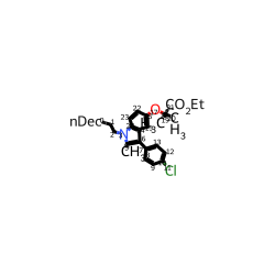 CCCCCCCCCCCCn1c(C)c(-c2ccc(Cl)cc2)c2cc(OC(C)(C)C(=O)OCC)ccc21